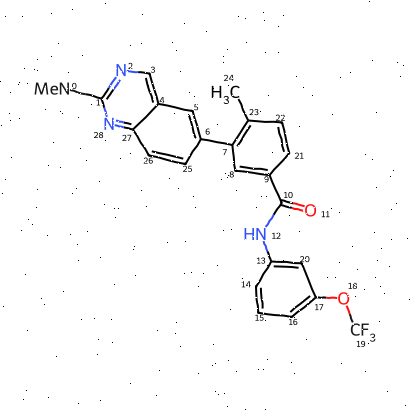 CNc1ncc2cc(-c3cc(C(=O)Nc4cccc(OC(F)(F)F)c4)ccc3C)ccc2n1